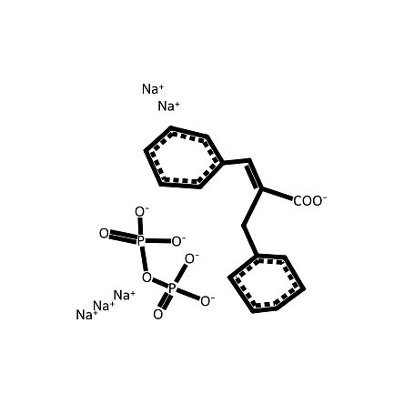 O=C([O-])C(=Cc1ccccc1)Cc1ccccc1.O=P([O-])([O-])OP(=O)([O-])[O-].[Na+].[Na+].[Na+].[Na+].[Na+]